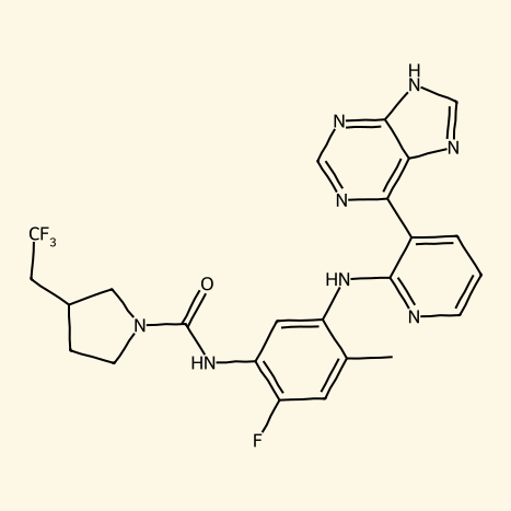 Cc1cc(F)c(NC(=O)N2CCC(CC(F)(F)F)C2)cc1Nc1ncccc1-c1ncnc2[nH]cnc12